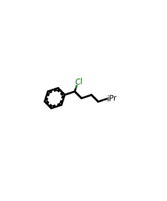 CC(C)CCCC(Cl)c1ccccc1